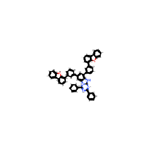 c1ccc(C2=NC3Nc4c(-c5cccc(-c6cccc7c6oc6ccccc67)c5)cc(-c5cccc(-c6cccc7c6oc6ccccc67)c5)cc4N3C(c3ccccc3)=N2)cc1